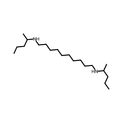 CCCC(C)NCCCCCCCCCCNC(C)CCC